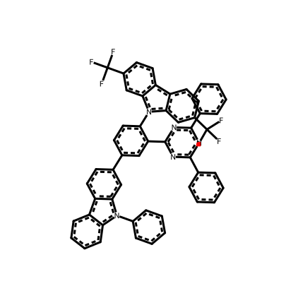 FC(F)(F)c1ccc2c3ccc(C(F)(F)F)cc3n(-c3ccc(-c4ccc5c6ccccc6n(-c6ccccc6)c5c4)cc3-c3nc(-c4ccccc4)nc(-c4ccccc4)n3)c2c1